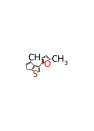 CC1=CCc2scc(-c3ccc(C)o3)c21